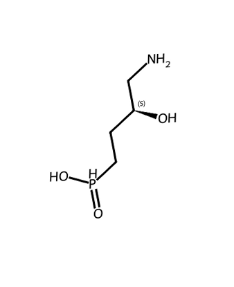 NC[C@@H](O)CC[PH](=O)O